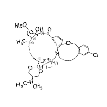 COCC[C@@H]1[C@@H](C)CCC[C@H]([C@H]2OC[C@H](N(C)C)CO2)[C@@H]2CC[C@H]2CN2CCCCc3cc(Cl)ccc3COc3ccc(cc32)C(=O)NS1(=O)=O